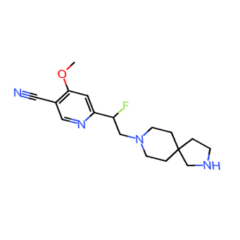 COc1cc(C(F)CN2CCC3(CCNC3)CC2)ncc1C#N